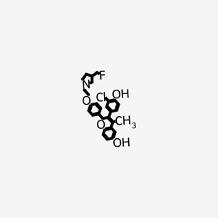 CC1=C(c2ccc(O)c(Cl)c2)C(c2ccc(OCCN3CCC(CF)C3)cc2)Oc2ccc(O)cc21